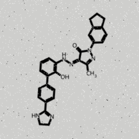 CC1=NN(c2ccc3c(c2)CCC3)C(=O)/C1=N\Nc1cccc(-c2ccc(C3=NCCN3)cc2)c1O